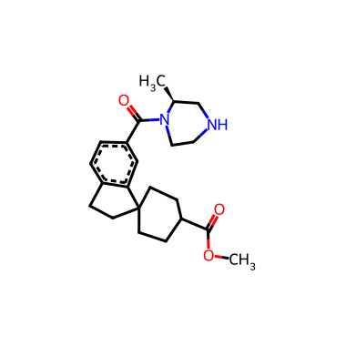 COC(=O)C1CCC2(CCc3ccc(C(=O)N4CCNC[C@@H]4C)cc32)CC1